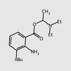 CCCCc1cccc(C(=O)OC(C)N(CC)CC)c1N